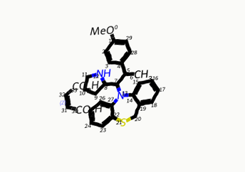 COc1ccc(C(C)C(C2CCCN2)N2c3ccccc3CSc3ccccc32)cc1.O=C(O)/C=C\C(=O)O